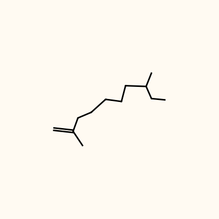 C=C(C)CCCCCC(C)CC